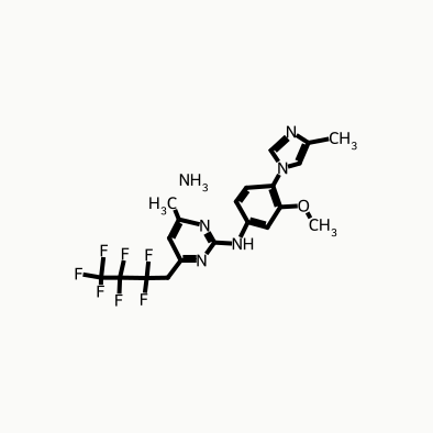 COc1cc(Nc2nc(C)cc(CC(F)(F)C(F)(F)C(F)(F)F)n2)ccc1-n1cnc(C)c1.N